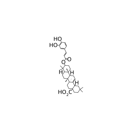 CC1(C)CC[C@]2(C(=O)O)CC[C@]3(C)C(=CC[C@@H]4[C@@]5(C)CC[C@H](OC(=O)/C=C/c6ccc(O)c(O)c6)C(C)(C)[C@@H]5CC[C@]43C)[C@@H]2C1